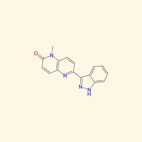 Cn1c(=O)ccc2nc(-c3n[nH]c4ccccc34)ccc21